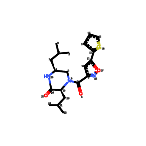 CC(C)C[C@H]1CN(C(=O)c2cc(-c3cccs3)on2)[C@@H](CC(C)C)C(=O)N1